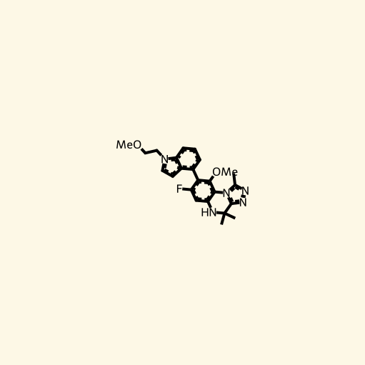 COCCn1ccc2c(-c3c(F)cc4c(c3OC)-n3c(C)nnc3C(C)(C)N4)cccc21